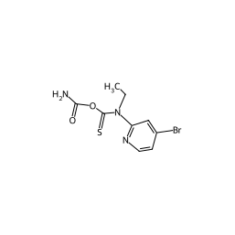 CCN(C(=S)OC(N)=O)c1cc(Br)ccn1